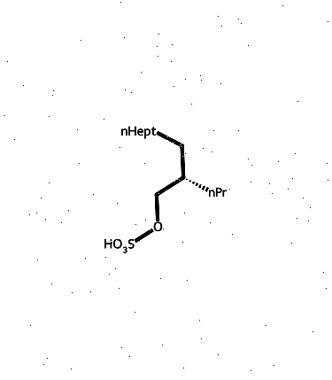 CCCCCCCC[C@H](CCC)COS(=O)(=O)O